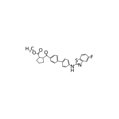 COC(=O)C1CCCC1C(=O)c1ccc(-c2ccc(Nc3nc4cc(F)ccc4s3)cc2)cc1